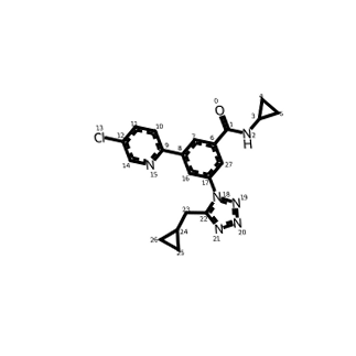 O=C(NC1CC1)c1cc(-c2ccc(Cl)cn2)cc(-n2nnnc2CC2CC2)c1